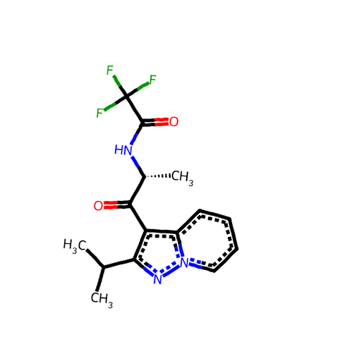 CC(C)c1nn2ccccc2c1C(=O)[C@@H](C)NC(=O)C(F)(F)F